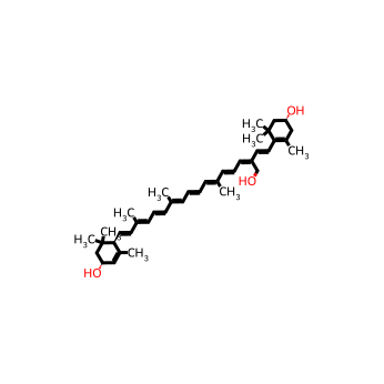 CC1=C[C@H](O)CC(C)(C)[C@H]1/C=C/C(C)=C/C=C/C(C)=C/C=C/C=C(C)/C=C/C=C(/C=C/C1=C(C)C[C@@H](O)CC1(C)C)CO